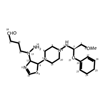 COC[C@H](NN1CCN(C2SC=NC2N(N)CCCC=O)CC1)OC1=CCCC=C1